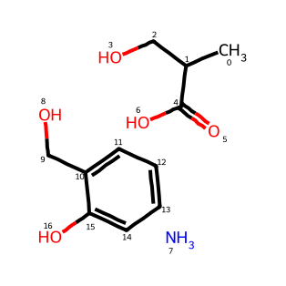 CC(CO)C(=O)O.N.OCc1ccccc1O